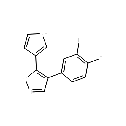 Fc1ccc(-c2cnoc2-c2cc[nH]c2)cc1F